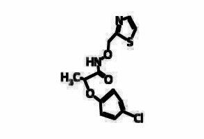 C[C@H](Oc1ccc(Cl)cc1)C(=O)NOCc1nccs1